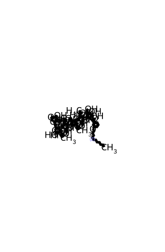 CCCCCC/C=C\CCCOc1cccc(C(=O)NC2C(O[C@@H]3C(CO)OC(OC4C(CO)O[C@@H](O[C@@H]5C(CO)OC(OC6C(CO[C@@H]7OC8OC8C(O)C7OC)O[C@@H](O)[C@@H](NC(C)=O)[C@@H]6O)C(NC(C)=O)C5O)[C@@H](NC(C)=O)[C@@H]4O)C(NC(C)=O)C3O)OC(CO)[C@@H](O)C2O)c1